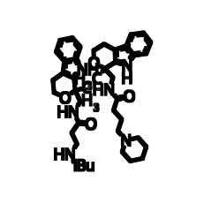 CC1(CNC(=O)CCCN2CCCCC2)OCCc2c1[nH]c1ccccc21.CCC(C)NCCC(=O)NCC1(C)OCCc2c1[nH]c1ccccc21